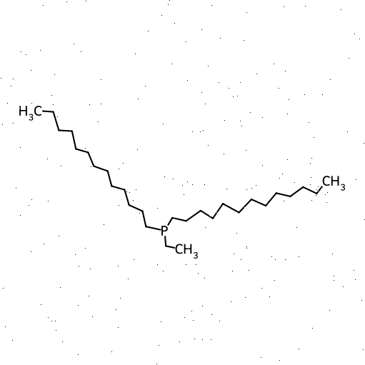 CCCCCCCCCCCCCP(CC)CCCCCCCCCCCCC